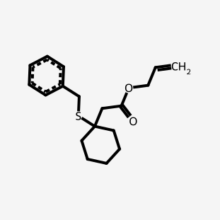 C=CCOC(=O)CC1(SCc2ccccc2)CCCCC1